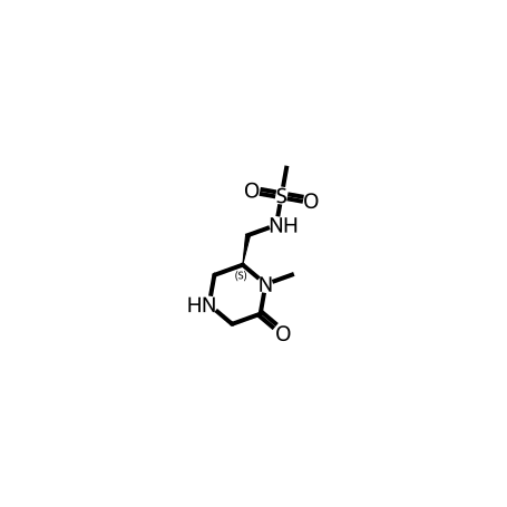 CN1C(=O)CNC[C@H]1CNS(C)(=O)=O